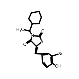 CC(C1CCCCC1)N1C(=O)S/C(=C\c2ccc(O)c(Br)c2)C1=O